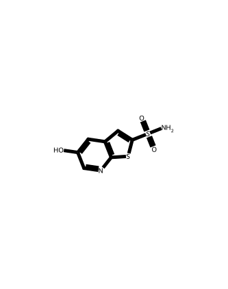 NS(=O)(=O)c1cc2cc(O)cnc2s1